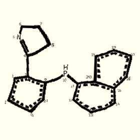 c1ccc(C2=NCCC2)c(Pc2cccc3ccccc23)c1